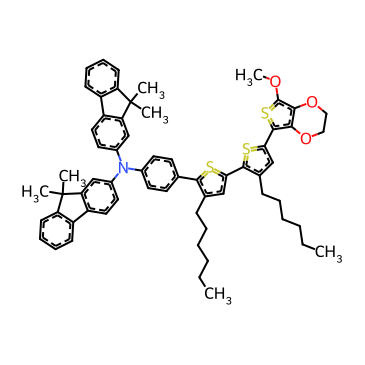 CCCCCCc1cc(-c2sc(-c3sc(OC)c4c3OCCO4)cc2CCCCCC)sc1-c1ccc(N(c2ccc3c(c2)C(C)(C)c2ccccc2-3)c2ccc3c(c2)C(C)(C)c2ccccc2-3)cc1